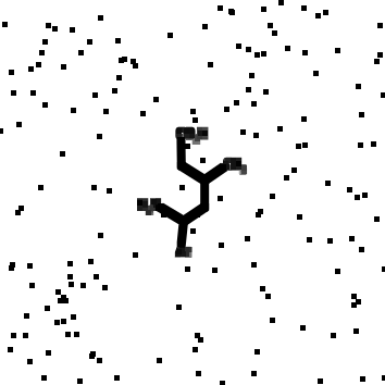 CC(=O)C(N)CC(C)CC(=O)O